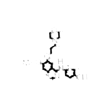 COc1cc2ncnc(Nc3ccc(C)cn3)c2cc1OCCCN1CCOCC1